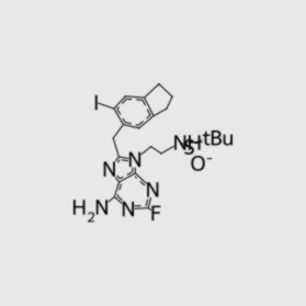 CC(C)(C)[S+]([O-])NCCn1c(Cc2cc3c(cc2I)CCC3)nc2c(N)nc(F)nc21